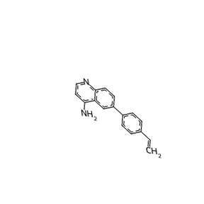 C=Cc1ccc(-c2ccc3nccc(N)c3c2)cc1